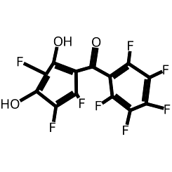 O=C(c1c(O)c(F)c(O)c(F)c1F)c1c(F)c(F)c(F)c(F)c1F